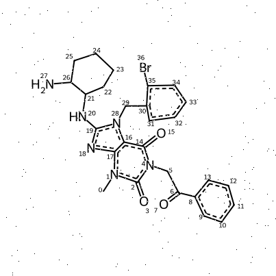 Cn1c(=O)n(CC(=O)c2ccccc2)c(=O)c2c1nc(NC1CCCCC1N)n2Cc1ccccc1Br